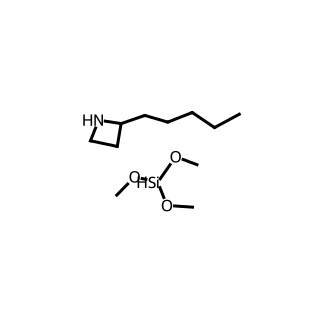 CCCCCC1CCN1.CO[SiH](OC)OC